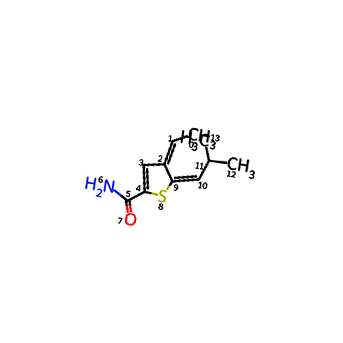 C/C=c1/cc(C(N)=O)s/c1=C/C(C)C